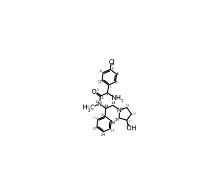 CN(C(=O)C(N)c1ccc(Cl)cc1)C(CN1CCC(O)C1)c1ccccc1